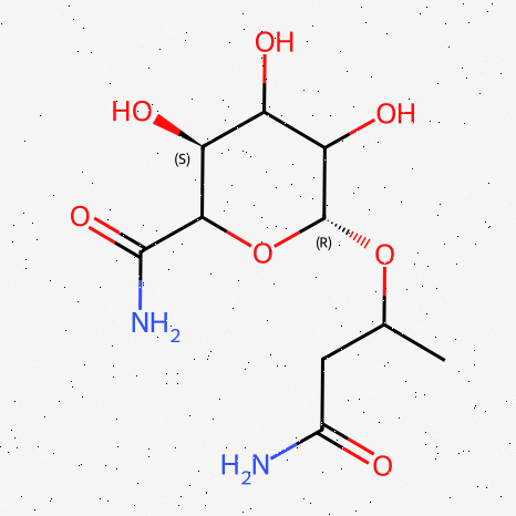 CC(CC(N)=O)O[C@@H]1OC(C(N)=O)[C@@H](O)C(O)C1O